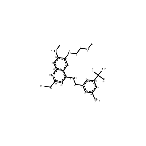 COCCOc1cc2c(NCc3cc(N)cc(C(F)(F)F)c3)nc(CF)nc2cc1OC